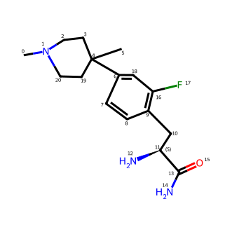 CN1CCC(C)(c2ccc(C[C@H](N)C(N)=O)c(F)c2)CC1